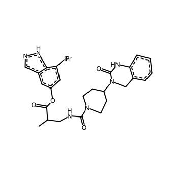 CC(CNC(=O)N1CCC(N2Cc3ccccc3NC2=O)CC1)C(=O)Oc1cc(C(C)C)c2[nH]ncc2c1